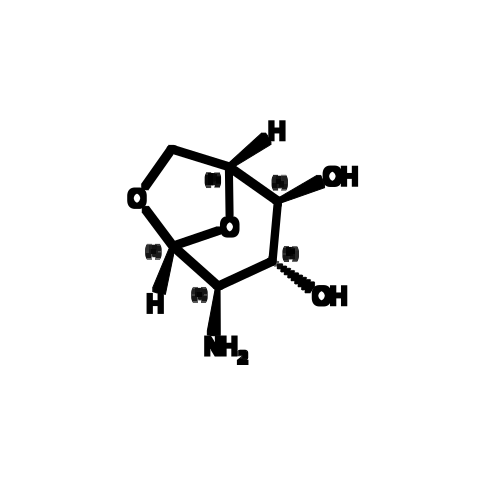 N[C@H]1[C@@H]2OC[C@@H](O2)[C@@H](O)[C@@H]1O